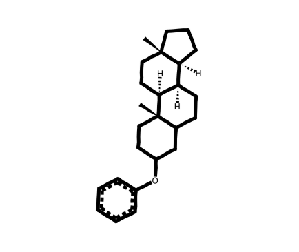 C[C@@]12CCC[C@H]1[C@H]1CCC3CC(Oc4ccccc4)CC[C@]3(C)[C@H]1CC2